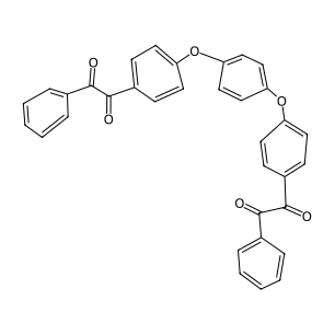 O=C(C(=O)c1ccc(Oc2ccc(Oc3ccc(C(=O)C(=O)c4ccccc4)cc3)cc2)cc1)c1ccccc1